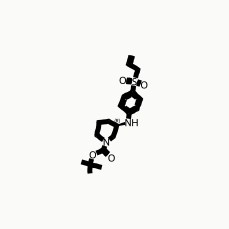 C=CCS(=O)(=O)c1ccc(N[C@@H]2CCCN(C(=O)OC(C)(C)C)C2)cc1